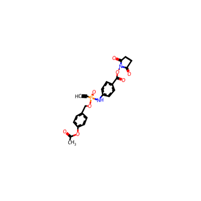 C#CP(=O)(Nc1ccc(C(=O)ON2C(=O)CCC2=O)cc1)OCc1ccc(OC(C)=O)cc1